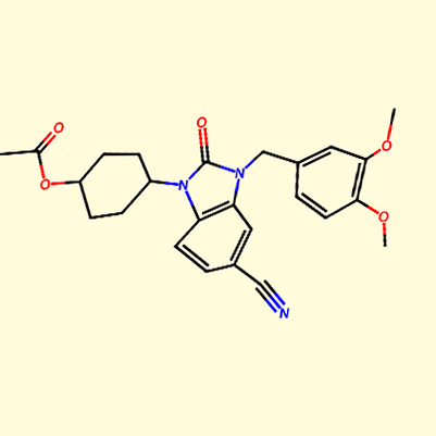 COc1ccc(Cn2c(=O)n(C3CCC(OC(C)=O)CC3)c3ccc(C#N)cc32)cc1OC